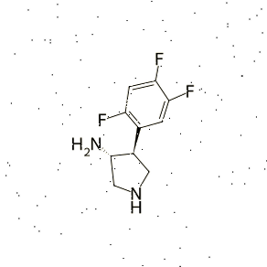 N[C@H]1CNC[C@@H]1c1cc(F)c(F)cc1F